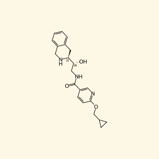 O=C(NC[C@@H](O)[C@@H]1Cc2ccccc2CN1)c1ccc(OCC2CC2)nc1